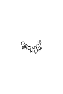 Nc1cc(NS(=O)(=O)c2ccccc2)ccc1NCc1cc(C(F)(F)F)cc(C(F)(F)F)c1